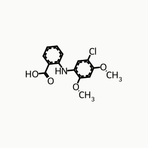 COc1cc(OC)c(Nc2ccccc2C(=O)O)cc1Cl